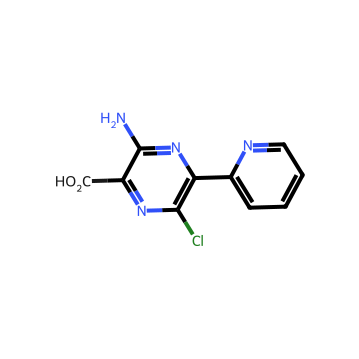 Nc1nc(-c2ccccn2)c(Cl)nc1C(=O)O